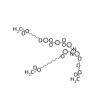 C=CC(=O)OCCCCCCCCCCCOc1cccc(-c2nc3cc(OCCOCCOC(=O)C=C)ccc3nc2-c2cccc(OC(=O)c3ccc(C(=O)Oc4ccc(OCCCCCCOC(=O)C=C)cc4)cc3)c2)c1